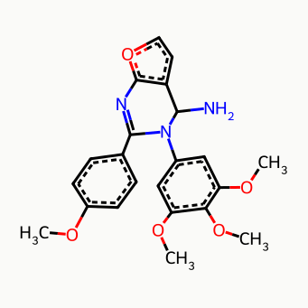 COc1ccc(C2=Nc3occc3C(N)N2c2cc(OC)c(OC)c(OC)c2)cc1